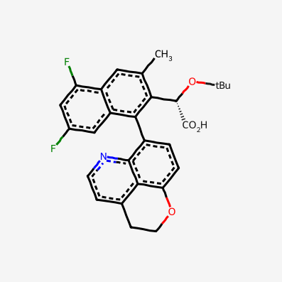 Cc1cc2c(F)cc(F)cc2c(-c2ccc3c4c(ccnc24)CCO3)c1[C@H](OC(C)(C)C)C(=O)O